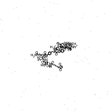 CC[C@H](C)[C@@H]([C@@H](CC(=O)N1CCC[C@H]1[C@H](OC)[C@@H](C)C(=O)NC(Cc1ccccc1)C(=O)NCCc1ccc(NC(=O)[C@@H](CCCNC(N)=O)NC(=O)C(NC(=O)C2O[C@H](CNC(=O)CCCCCN3C(=O)C=CC3=O)C(O)C2O)C(C)C)cc1)OC)N(C)C(=O)C(NC(=O)[C@H](C(C)C)N(C)C)C(C)C